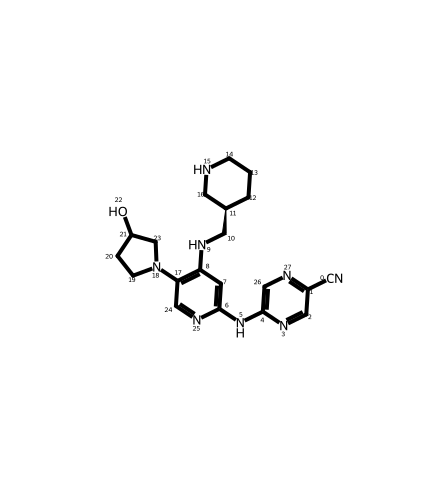 N#Cc1cnc(Nc2cc(NC[C@@H]3CCCNC3)c(N3CCC(O)C3)cn2)cn1